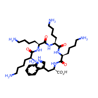 NCCCC[C@H](NC(=O)[C@H](CCCCN)NC(=O)[C@H](CCCCN)NC(=O)[C@@H](N)CCCCN)C(=O)N[C@@H](Cc1c[nH]c2ccccc12)C(=O)O